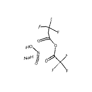 O=C(OC(=O)C(F)(F)F)C(F)(F)F.O=NO.[NaH]